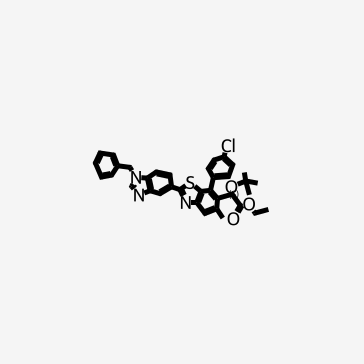 CCOC(=O)[C@@H](OC(C)(C)C)c1c(C)cc2nc(-c3ccc4c(c3)ncn4Cc3ccccc3)sc2c1-c1ccc(Cl)cc1